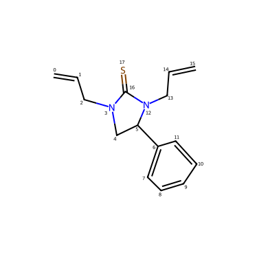 C=CCN1CC(c2ccccc2)N(CC=C)C1=S